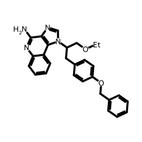 CCOCC(Cc1ccc(OCc2ccccc2)cc1)n1cnc2c(N)nc3ccccc3c21